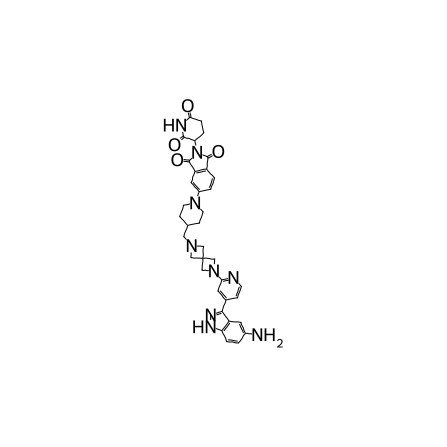 Nc1ccc2[nH]nc(-c3ccnc(N4CC5(CN(CC6CCN(c7ccc8c(c7)C(=O)N(C7CCC(=O)NC7=O)C8=O)CC6)C5)C4)c3)c2c1